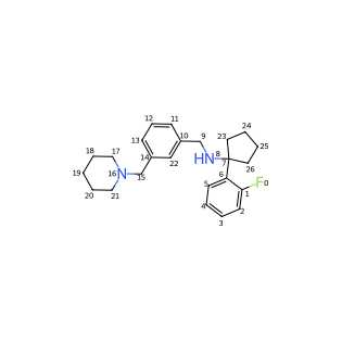 Fc1ccccc1C1(NCc2cccc(CN3CCCCC3)c2)CCCC1